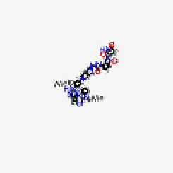 COc1cc(N2CCC3(CCN(CC(=O)Nc4cccc5c4CN(C4CCC(=O)NC4=O)C5=O)CC3)CC2)ccc1Nc1ncc(Cl)c(Nc2ccccc2N(C)SC)n1